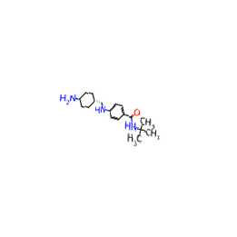 CC(C)(C)NC(=O)c1ccc(NC[C@H]2CC[C@H](N)CC2)cc1